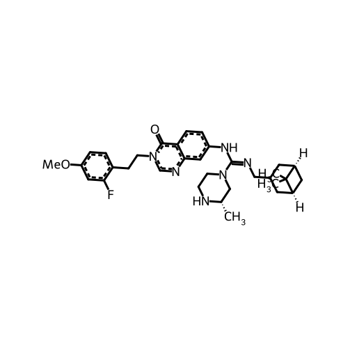 COc1ccc(CCn2cnc3cc(N/C(=N/CC4C[C@@H]5C[C@H](C4)C5(C)C)N4CCN[C@@H](C)C4)ccc3c2=O)c(F)c1